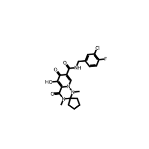 CN1C(=O)c2c(O)c(=O)c(C(=O)NCc3ccc(F)c(Cl)c3)cn2N(C)C12CCCC2